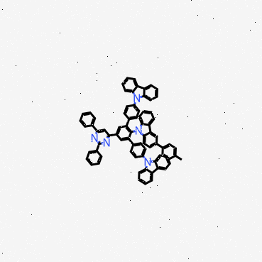 Cc1ccc(-c2ccc3c(c2)c2ccccc2n3-c2c(-c3ccc(-n4c5ccccc5c5ccccc54)cc3)cc(-c3cc(-c4ccccc4)nc(-c4ccccc4)n3)cc2-c2ccc(-n3c4ccccc4c4ccccc43)cc2)cc1